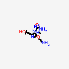 CCn1c(-c2nonc2N)nc2c(C#CC(C)(C)O)ncc(OCCCN)c21